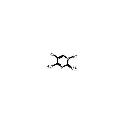 C=C1N=C(N)C(Cl)=CN1C(C)C